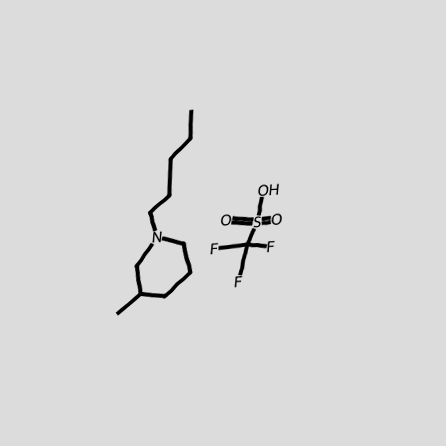 CCCCCN1CCCC(C)C1.O=S(=O)(O)C(F)(F)F